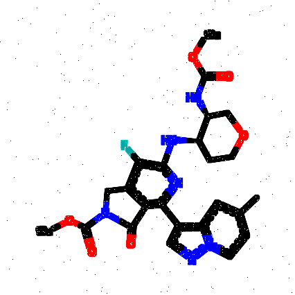 Cc1ccn2ncc(-c3nc(N[C@@H]4CCOC[C@@H]4NC(=O)OC(C)(C)C)c(F)c4c3C(=O)N(C(=O)OC(C)(C)C)C4)c2c1